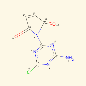 Nc1nc(Cl)nc(N2C(=O)C=CC2=O)n1